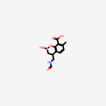 Cc1ccc2c(c1C(=O)O)OB(O)CC2CNC=O